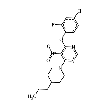 CCCC1CCN(c2ncnc(Oc3ccc(Cl)cc3F)c2[N+](=O)[O-])CC1